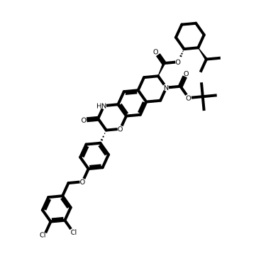 CC(C)[C@@H]1CCCC[C@H]1OC(=O)[C@@H]1Cc2cc3c(cc2CN1C(=O)OC(C)(C)C)O[C@H](c1ccc(OCc2ccc(Cl)c(Cl)c2)cc1)C(=O)N3